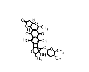 CC1OC2c3c(O)c4c(c(O)c3C23C(O[C@H]2CC[C@H](O)[C@H](C)O2)C13O)C(=O)C1=C(C4=O)[C@@H]2OC(=O)C[C@@H]2O[C@H]1C